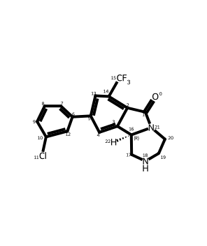 O=C1c2c(cc(-c3cccc(Cl)c3)cc2C(F)(F)F)[C@@H]2CNCCN12